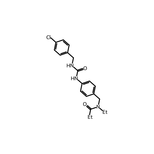 CCC(=O)N(CC)Cc1ccc(NC(=O)NCc2ccc(Cl)cc2)cc1